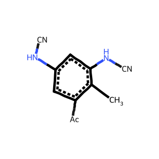 CC(=O)c1cc(NC#N)cc(NC#N)c1C